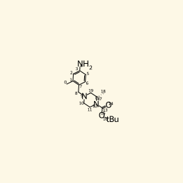 Cc1cc(N)ccc1CN1CCN(C(=O)OC(C)(C)C)[C@@H](C)C1